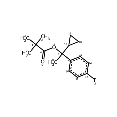 CC(C)(C)C(=O)OC(C)(c1ccc(F)cc1)C1CC1